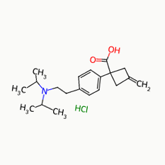 C=C1CC(C(=O)O)(c2ccc(CCN(C(C)C)C(C)C)cc2)C1.Cl